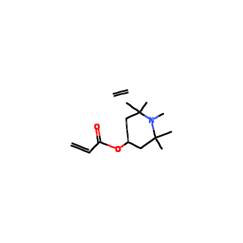 C=C.C=CC(=O)OC1CC(C)(C)N(C)C(C)(C)C1